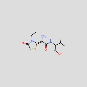 CCN1C(=O)CS/C1=C(/N)C(=O)N[C@H](CO)C(C)C